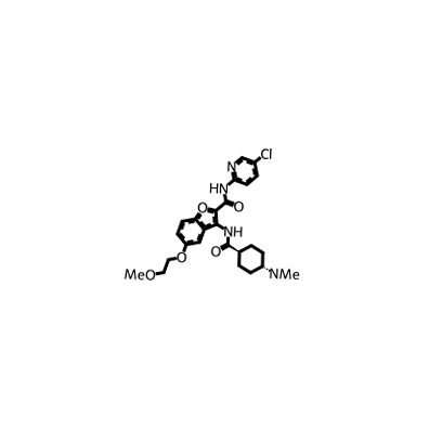 CN[C@H]1CC[C@H](C(=O)Nc2c(C(=O)Nc3ccc(Cl)cn3)oc3ccc(OCCOC)cc23)CC1